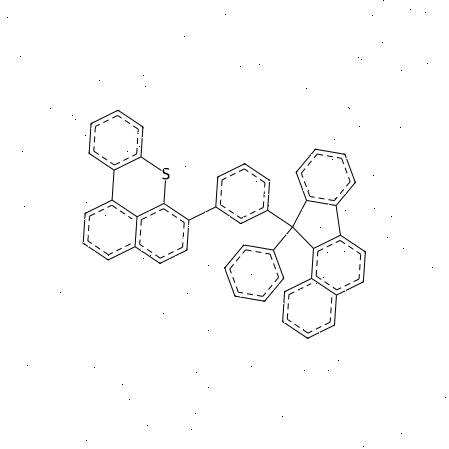 c1ccc(C2(c3cccc(-c4ccc5cccc6c5c4Sc4ccccc4-6)c3)c3ccccc3-c3ccc4ccccc4c32)cc1